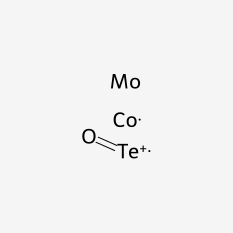 O=[Te+].[Co].[Mo]